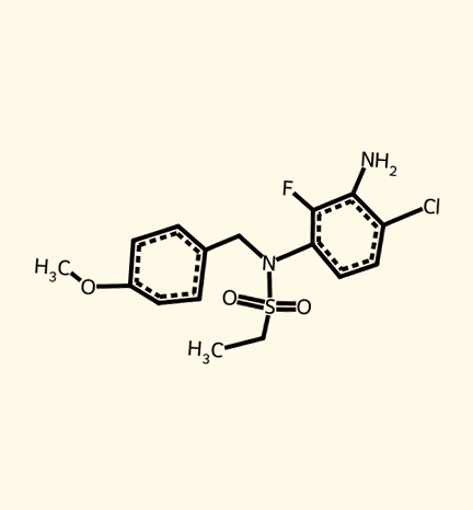 CCS(=O)(=O)N(Cc1ccc(OC)cc1)c1ccc(Cl)c(N)c1F